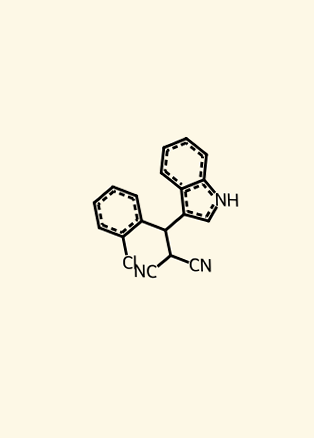 N#CC(C#N)C(c1ccccc1Cl)c1c[nH]c2ccccc12